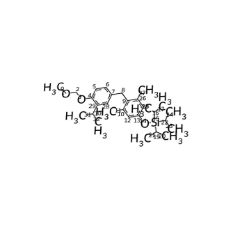 COCOc1ccc(Cc2c(C)cc(O[Si](C(C)C)(C(C)C)C(C)C)cc2C)cc1C(C)C